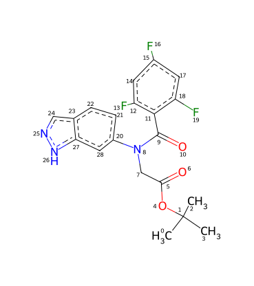 CC(C)(C)OC(=O)CN(C(=O)c1c(F)cc(F)cc1F)c1ccc2cn[nH]c2c1